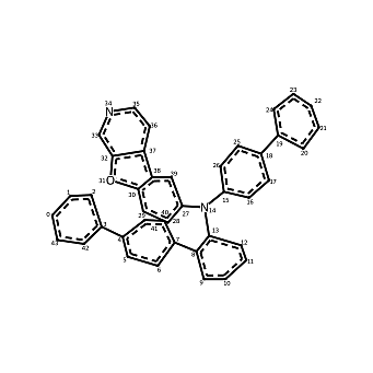 c1ccc(-c2ccc(-c3ccccc3N(c3ccc(-c4ccccc4)cc3)c3ccc4oc5cnccc5c4c3)cc2)cc1